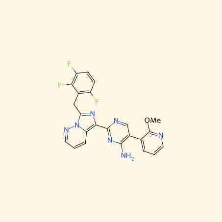 COc1ncccc1-c1cnc(-c2nc(Cc3c(F)ccc(F)c3F)n3ncccc23)nc1N